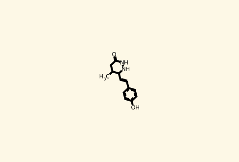 CC1CC(=O)NNC1/C=C/c1ccc(O)cc1